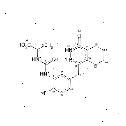 CC(NC(=O)Nc1cc(Cc2n[nH]c(=O)c3c2CCCC3)ccc1F)C(=O)O